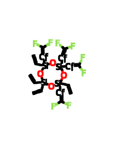 C=C[Si]1(C=C)O[Si](C=C)([Cf]=[C](F)F)O[Si]([Cf]=[C](F)F)([Cf]=[C](F)F)O[Si](C=C)([Cf]=[C](F)F)O1